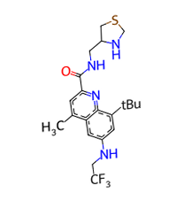 Cc1cc(C(=O)NCC2CSCN2)nc2c(C(C)(C)C)cc(NCC(F)(F)F)cc12